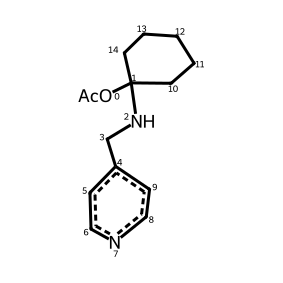 CC(=O)OC1(NCc2ccncc2)CCCCC1